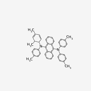 CC1=CC(C)C(N(c2ccc(C)cc2)c2c3ccccc3c(N(c3ccc(C)cc3)c3ccc(C)cc3)c3ccccc23)C=C1